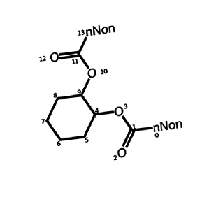 CCCCCCCCCC(=O)O[C]1CCCCC1OC(=O)CCCCCCCCC